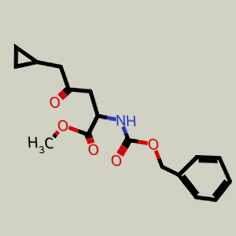 COC(=O)C(CC(=O)CC1CC1)NC(=O)OCc1ccccc1